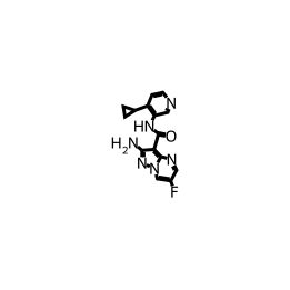 Nc1nn2cc(F)cnc2c1C(=O)Nc1cnccc1C1CC1